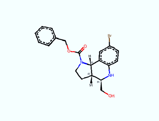 O=C(OCc1ccccc1)N1CC[C@H]2[C@H](CO)Nc3ccc(Br)cc3[C@H]21